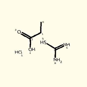 CCC(=O)O.Cl.N=C(N)S